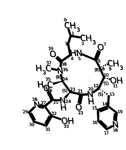 CC(C)CC1NC(=O)[C@H](C)[C@H](O)[C@H](Cc2cccnc2)NC(=O)[C@@H](NC(=O)c2ncccc2O)[C@@H](C)N(C)C1=O